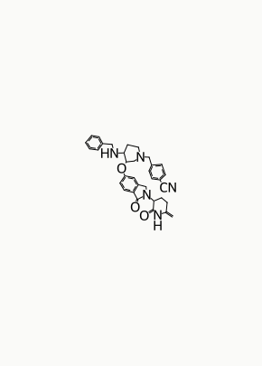 C=C1CCC(N2Cc3cc(OC4CN(Cc5ccc(C#N)cc5)CCC4NCc4ccccc4)ccc3C2=O)C(=O)N1